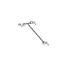 [CH2]CCCC(CCC)CCCCCCCCCCCCCCCCCCCCCCC